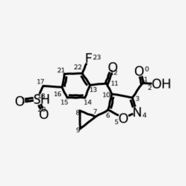 O=C(O)c1noc(C2CC2)c1C(=O)c1ccc(C[SH](=O)=O)cc1F